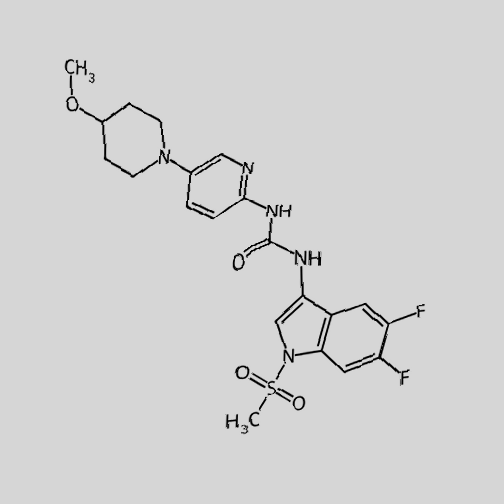 COC1CCN(c2ccc(NC(=O)Nc3cn(S(C)(=O)=O)c4cc(F)c(F)cc34)nc2)CC1